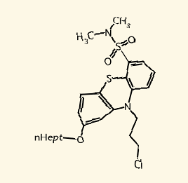 CCCCCCCOc1ccc2c(c1)N(CCCCl)c1cccc(S(=O)(=O)N(C)C)c1S2